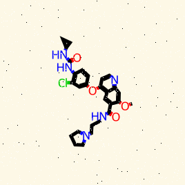 COc1cc2nccc(Oc3ccc(NC(=O)NC4CC4)c(Cl)c3)c2cc1C(=O)NCCCN1CCCC1